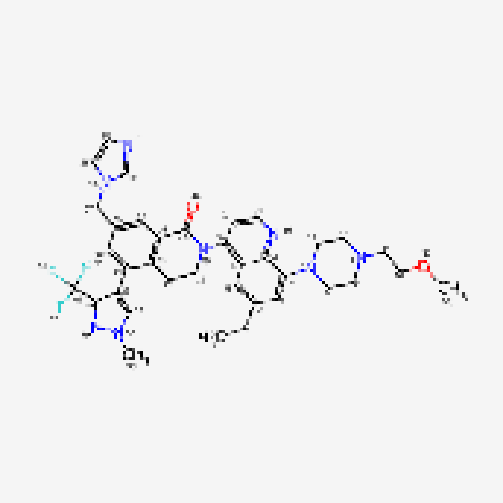 CCc1cc(N2CCN(CCOC)CC2)c2nccc(N3CCc4c(cc(Cn5ccnc5)cc4-c4cn(C)nc4C(F)(F)F)C3=O)c2c1